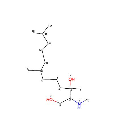 CNC(CO)C(C)(O)CCCC(C)CCCC(C)C